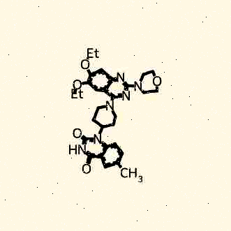 CCOc1cc2nc(N3CCOCC3)nc(N3CCC(n4c(=O)[nH]c(=O)c5cc(C)ccc54)CC3)c2cc1OCC